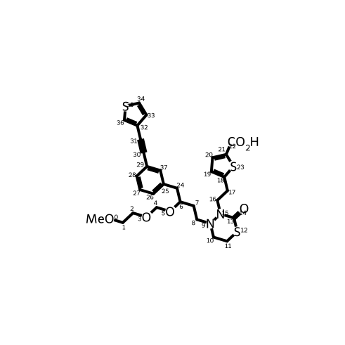 COCCOCOC(CCN1CCSC(=O)N1CCc1ccc(C(=O)O)s1)Cc1cccc(C#Cc2ccsc2)c1